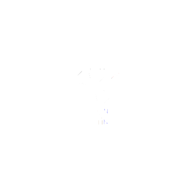 CN(C)[SH](C)(=O)Nc1ccc2c(-c3ccccc3)c(C=O)c(=O)oc2c1